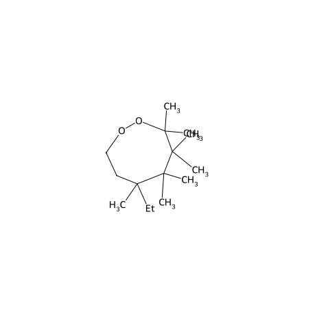 CCC1(C)CCOOC(C)(C)C(C)(C)C1(C)C